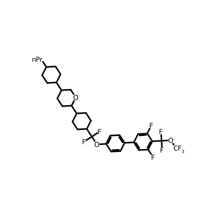 CCCC1CCC(C2CCC(C3CCC(C(F)(F)Oc4ccc(-c5cc(F)c(C(F)(F)OC(F)(F)F)c(F)c5)cc4)CC3)OC2)CC1